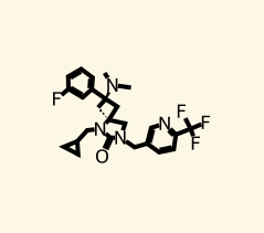 CN(C)[C@]1(c2cccc(F)c2)C[C@@]2(CN(Cc3ccc(C(F)(F)F)nc3)C(=O)N2CC2CC2)C1